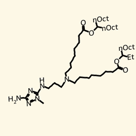 CCCCCCCCC(CC)OC(=O)CCCCCCCN(CCCCCCCC(=O)OC(CCCCCCCC)CCCCCCCC)CCCNc1nc(N)nn1C